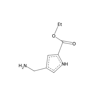 CCOC(=O)c1cc(CN)c[nH]1